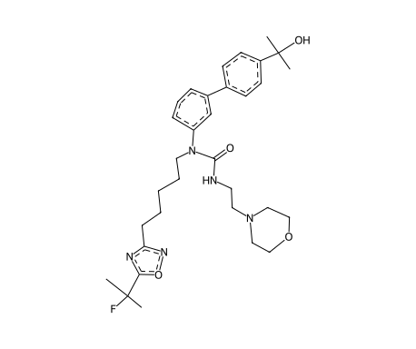 CC(C)(O)c1ccc(-c2cccc(N(CCCCCc3noc(C(C)(C)F)n3)C(=O)NCCN3CCOCC3)c2)cc1